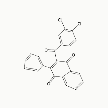 O=C(C1=C(c2ccccc2)C(=O)c2ccccc2C1=O)c1ccc(Cl)c(Cl)c1